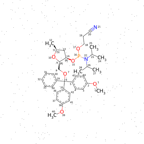 COc1ccc(C(OC[C@H]2O[C@@H](C)C[C@H]2OP(OCCC#N)N(C(C)C)C(C)C)(c2ccccc2)c2ccc(OC)cc2)cc1